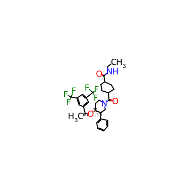 CCNC(=O)C1CCC(C(=O)N2CC[C@H](O[C@H](C)c3cc(C(F)(F)F)cc(C(F)(F)F)c3)[C@H](c3ccccc3)C2)CC1